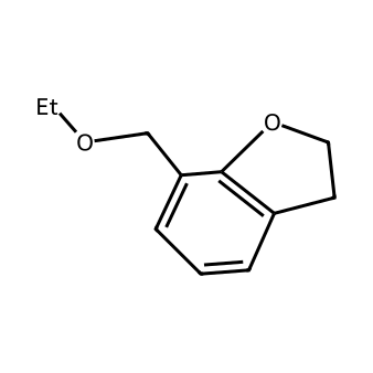 CCOCc1cccc2c1OCC2